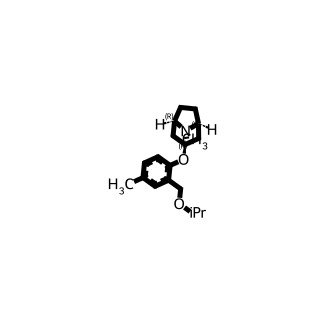 Cc1ccc(O[C@H]2C[C@H]3CC[C@@H](C2)N3C)c(COC(C)C)c1